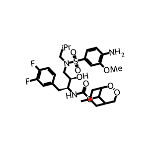 COc1cc(S(=O)(=O)N(CC(C)C)C[C@@H](O)[C@H](Cc2ccc(F)c(F)c2)NC(=O)OC2C3COOC2CC(C)C3)ccc1N